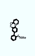 CNSc1ccccc1-c1ccc(N2CCC=CC2=O)c(F)c1